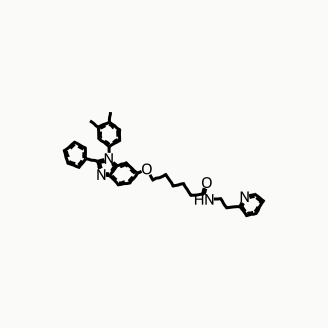 Cc1ccc(-n2c(-c3ccccc3)nc3ccc(OCCCCCC(=O)NCCc4ccccn4)cc32)cc1C